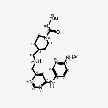 CC(=O)Nc1ccc(Nc2cc(CNCC3CCN(C(=O)OC(C)(C)C)CC3)ncn2)cn1